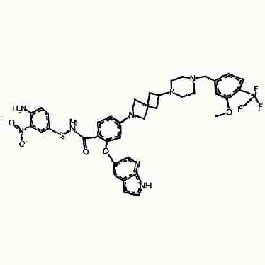 COc1cc(CN2CCN(C3CC4(C3)CN(c3ccc(C(=O)NSc5ccc(N)c([N+](=O)[O-])c5)c(Oc5cnc6[nH]ccc6c5)c3)C4)CC2)ccc1C(F)(F)F